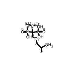 CCN(CC)C(COCC(C)N)(P(=O)(O)O)P(=O)(O)O